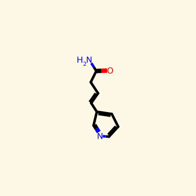 NC(=O)C/C=C/c1cccnc1